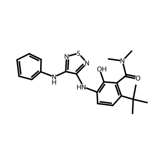 CN(C)C(=O)c1c(C(C)(C)C)ccc(Nc2nsnc2Nc2ccccc2)c1O